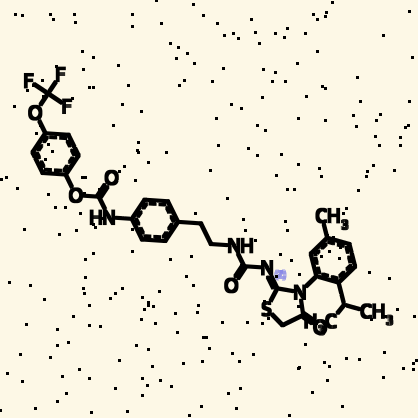 Cc1ccc(C(C)C)c(N2C(=O)CS/C2=N\C(=O)NCCc2ccc(NC(=O)Oc3ccc(OC(F)(F)F)cc3)cc2)c1